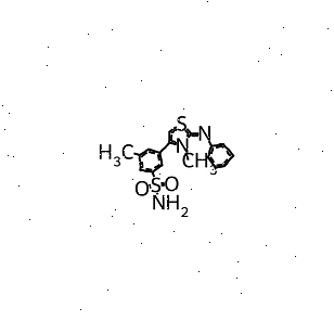 Cc1cc(-c2csc(=Nc3ccccc3)n2C)cc(S(N)(=O)=O)c1